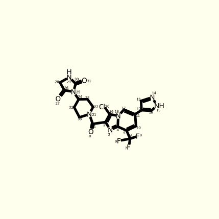 O=C(c1nc2c(C(F)(F)F)cc(-c3cn[nH]c3)cn2c1Cl)N1CCC(N2C(=O)CNC2=O)CC1